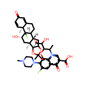 CC1C(C(O)C(=O)[C@@]23OC(C)(C)OC2C[C@H]2[C@@H]4CCC5=CC(=O)C=C[C@]5(C)C4(F)[C@@H](O)C[C@@]23C)Oc2c(N3CCN(C)CC3)c(F)cc3c(=O)c(C(=O)O)cn1c23